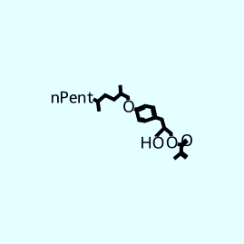 C=C(C)C(=O)OCC(CO)Cc1ccc(OCC(C)CCC(C)CCCCC)cc1